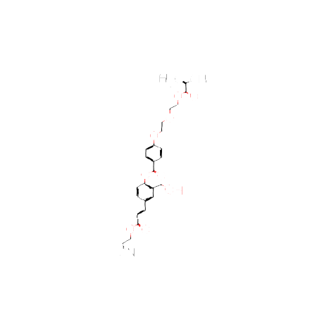 C=C(C)C(=O)OCCOCCOc1ccc(C(=O)Oc2ccc(/C=C/C(=O)OCCC#N)cc2CO)cc1